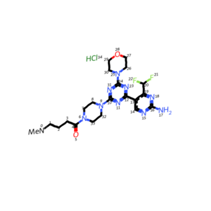 CNCCCC(=O)N1CCN(c2nc(-c3cnc(N)nc3C(F)F)nc(N3CCOCC3)n2)CC1.Cl